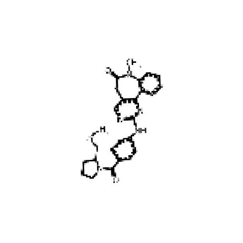 COC[C@@H]1CCCN1C(=O)c1ccc(Nc2ncc3c(n2)-c2ccccc2N(C)C(=O)C3)cc1